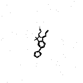 C=C/C=C1\C(=C/CI)C(C)(C)c2cc(-c3ccccc3)ccc21